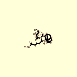 COC(=O)CCCC(NC12CC3CC(CC(C3)C1)C2)N(CC(=O)O)C(=O)[C@H](C)CS